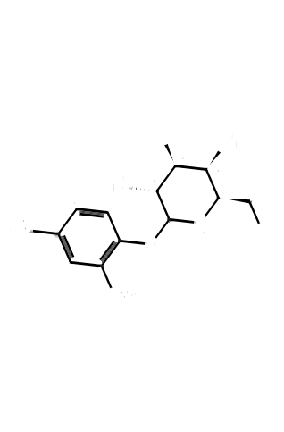 COc1cc([N+](=O)[O-])ccc1OC1O[C@H](CO)[C@H](O)[C@H](O)[C@H]1O